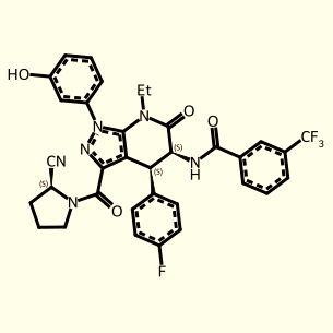 CCN1C(=O)[C@@H](NC(=O)c2cccc(C(F)(F)F)c2)[C@@H](c2ccc(F)cc2)c2c(C(=O)N3CCC[C@H]3C#N)nn(-c3cccc(O)c3)c21